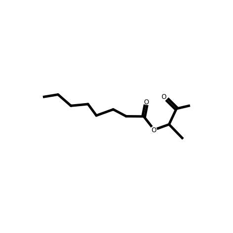 CCCCCCCC(=O)OC(C)C(C)=O